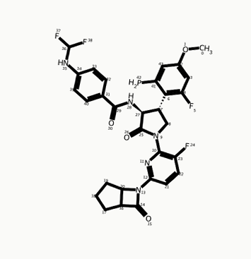 COc1cc(F)c([C@@H]2CN(c3nc(N4C(=O)C5CCCC54)ccc3F)C(=O)[C@H]2NC(=O)c2ccc(NC(F)F)cc2)c(P)c1